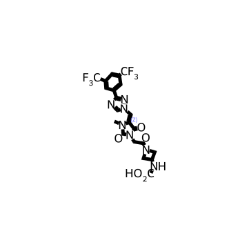 CN1C(=O)N(CC(=O)N2CC(NC(=O)O)C2)C(=O)/C1=C/n1cnc(-c2cc(C(F)(F)F)cc(C(F)(F)F)c2)n1